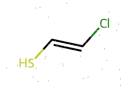 S/C=C/Cl